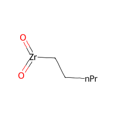 CCCC[CH2][Zr](=[O])=[O]